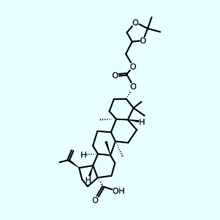 C=C(C)[C@@H]1CC[C@]2(C(=O)O)CC[C@]3(C)[C@H](CCC4[C@@]5(C)CC[C@H](OC(=O)OCC6COC(C)(C)O6)C(C)(C)[C@@H]5CC[C@]43C)[C@@H]12